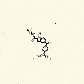 CCOC(=O)c1cc2cc(C(=O)N3CCC(N(C)C)CC3)ccc2[nH]1